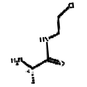 C[C@H](N)C(=O)NCCCl